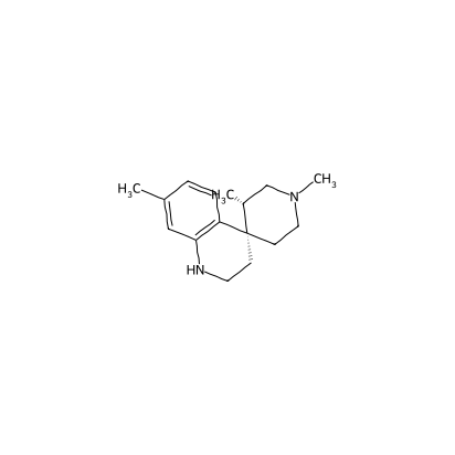 Cc1ccc2c(c1)NCC[C@]21CCN(C)C[C@H]1C